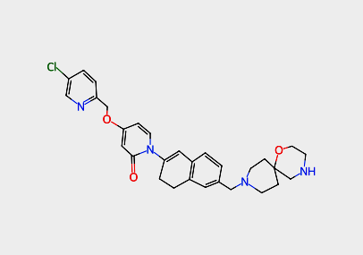 O=c1cc(OCc2ccc(Cl)cn2)ccn1C1=Cc2ccc(CN3CCC4(CC3)CNCCO4)cc2CC1